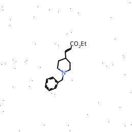 CCOC(=O)/C=C/C1CCN(Cc2ccccc2)CC1